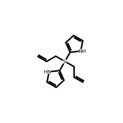 C=CC[Si](CC=C)(c1ccc[nH]1)c1ccc[nH]1